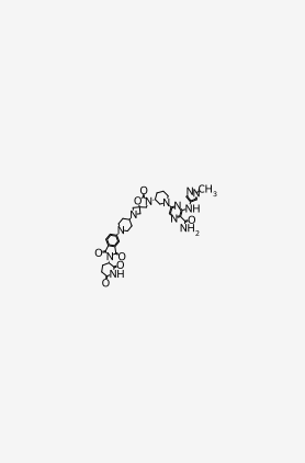 Cn1cc(Nc2nc(N3CCC[C@@H](N4CC5(CN(C6CCN(c7ccc8c(c7)C(=O)N([C@H]7CCC(=O)NC7=O)C8=O)CC6)C5)OC4=O)C3)cnc2C(N)=O)cn1